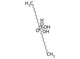 CCCCCCCCCCCCCOC(=O)CCCCCCCCCCCCC.OCC(O)CO